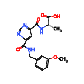 COc1cccc(CNC(=O)c2cc(C(=O)N[C@@H](C)C(=O)O)ncn2)c1